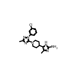 Cc1nc(N2CCC(c3[nH]c(N)nc3C)CC2)n(-c2cccc(Cl)c2)n1